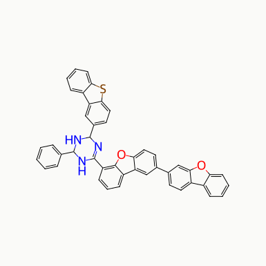 c1ccc(C2NC(c3cccc4c3oc3ccc(-c5ccc6c(c5)oc5ccccc56)cc34)=NC(c3ccc4sc5ccccc5c4c3)N2)cc1